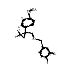 CCOc1ccc(C2(COCc3ccc(F)c(Br)c3)CC2(F)F)cc1